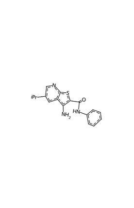 CC(C)c1cnc2sc(C(=O)Nc3ccccc3)c(N)c2c1